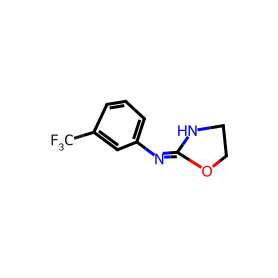 FC(F)(F)c1cccc(/N=C2\NCCO2)c1